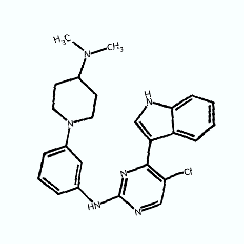 CN(C)C1CCN(c2cccc(Nc3ncc(Cl)c(-c4c[nH]c5ccccc45)n3)c2)CC1